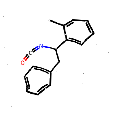 [CH2]c1ccccc1C(Cc1ccccc1)N=C=O